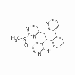 C[S+]([O-])c1nccc(CC(c2ccccc2-c2cccnc2)c2cccnc2F)n1